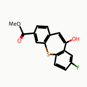 COC(=O)c1ccc2c(c1)Sc1ccc(F)cc1C(O)=C2